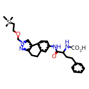 C[Si](C)(C)CCOCn1cc2c(n1)CCc1cc(NC(=O)C(CCc3ccccc3)NC(=O)O)ccc1-2